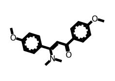 COc1ccc(C(=O)C=C(c2ccc(OC)cc2)N(C)C)cc1